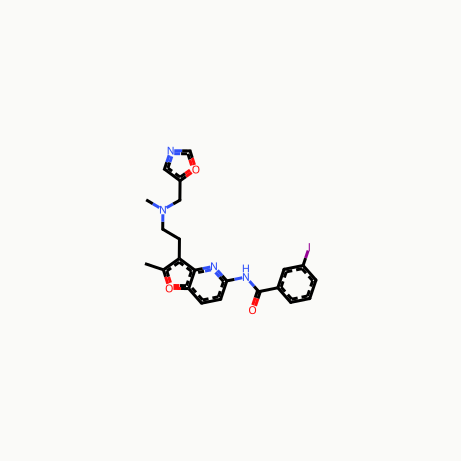 Cc1oc2ccc(NC(=O)c3cccc(I)c3)nc2c1CCN(C)Cc1cnco1